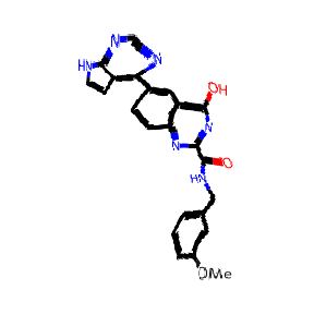 COc1cccc(CNC(=O)c2nc(O)c3cc(-c4ncnc5[nH]ccc45)ccc3n2)c1